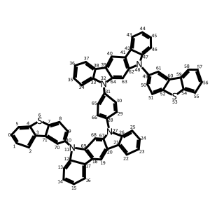 c1ccc2c(c1)sc1ccc(-n3c4ccccc4c4cc5c6ccccc6n(-c6ccc(-n7c8ccccc8c8cc9c%10ccccc%10n(-c%10ccc%11sc%12ccccc%12c%11c%10)c9cc87)cc6)c5cc43)cc12